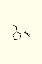 CCN1CCC[C@H]1[C]=O